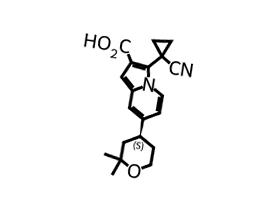 CC1(C)C[C@@H](c2ccn3c(C4(C#N)CC4)c(C(=O)O)cc3c2)CCO1